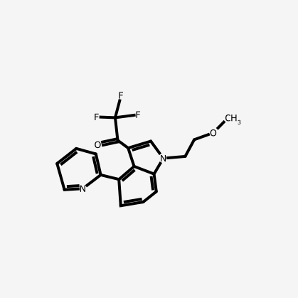 COCCn1cc(C(=O)C(F)(F)F)c2c(-c3ccccn3)cccc21